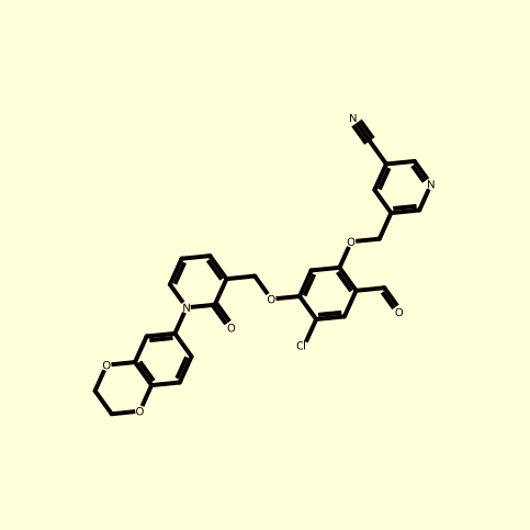 N#Cc1cncc(COc2cc(OCc3cccn(-c4ccc5c(c4)OCCO5)c3=O)c(Cl)cc2C=O)c1